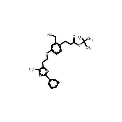 Cc1oc(-c2ccccc2)nc1CCOc1ccc(CCC(=O)OC(C)(C)C)c(CO)c1